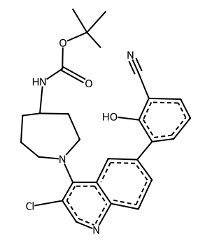 CC(C)(C)OC(=O)NC1CCCN(c2c(Cl)cnc3ccc(-c4cccc(C#N)c4O)cc23)CC1